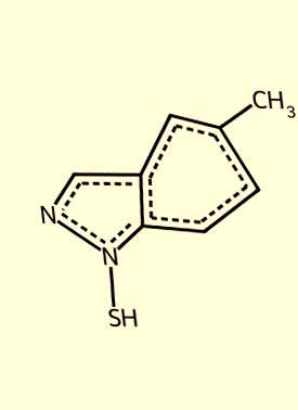 Cc1ccc2c(cnn2S)c1